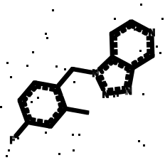 Cc1cc(F)ccc1Cn1nnc2cnccc21